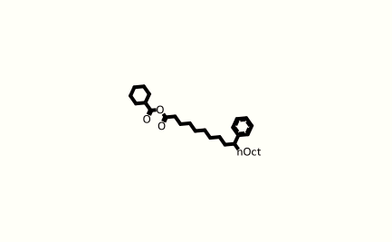 CCCCCCCCC(CCCCCCCCC(=O)OC(=O)C1CCCCC1)c1ccccc1